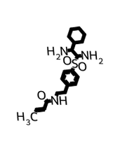 CC=CC(=O)NCCc1ccc(S(=O)(=O)C(N)C(N)C2CCCCC2)cc1